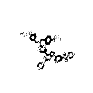 COc1ccc(CN(Cc2ccc(OC)cc2)c2ncc(-c3nc(N4CCOCC4)nc4c3CCN4c3cncc(S(=O)(=O)N4CCOCC4)c3)cn2)cc1